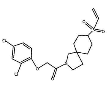 C=CS(=O)(=O)C1CCC2(CC1)CCN(C(=O)COc1ccc(Cl)cc1Cl)C2